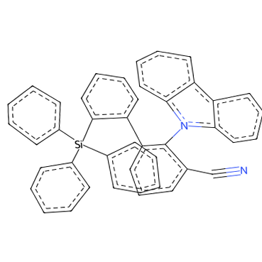 N#Cc1cccc(-c2ccccc2[Si](c2ccccc2)(c2ccccc2)c2ccccc2)c1-n1c2ccccc2c2ccccc21